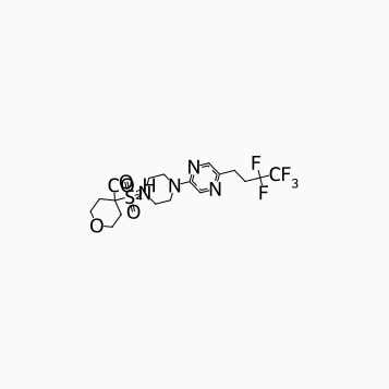 O=C(O)C1(S(=O)(=O)N2CCN(c3cnc(CCC(F)(F)C(F)(F)F)cn3)CC2)CCOCC1